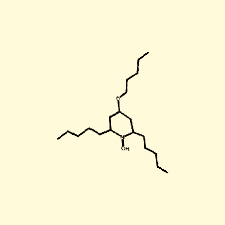 CCCCCOC1CC(CCCCC)N(O)C(CCCCC)C1